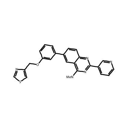 CNc1nc(-c2cccnc2)nc2ccc(-c3cccc(OCc4cscn4)c3)cc12